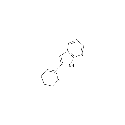 [c]1ncnc2[nH]c(C3=CCCCS3)cc12